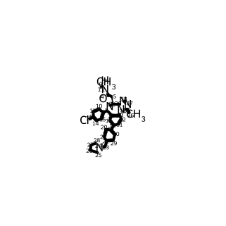 CCNC(=O)C[C@@H]1N=C(c2ccc(Cl)cc2)c2cc(-c3ccc(CN4CCCC4)cc3)ccc2-n2c(C)nnc21